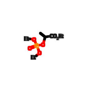 CCOC(=O)C(C)OP(=O)(OCC)OCC